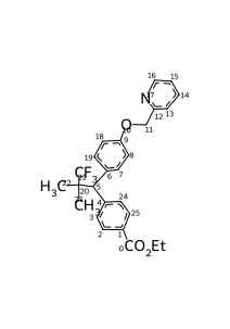 CCOC(=O)c1ccc(C(c2ccc(OCc3ccccn3)cc2)C(C)(C)C(F)(F)F)cc1